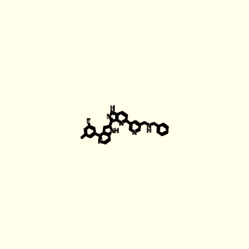 Cc1cc(F)cc(-c2nccc3[nH]c(-c4n[nH]c5ccc(-c6cncc(CNCc7ccccc7)c6)nc45)cc23)c1